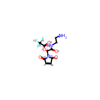 NCCNC(=O)C(OC(=O)C(F)(F)F)N1C(=O)C=CC1=O